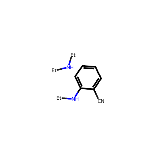 CCNCC.CCNc1ccccc1C#N